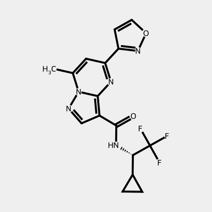 Cc1cc(-c2ccon2)nc2c(C(=O)N[C@@H](C3CC3)C(F)(F)F)cnn12